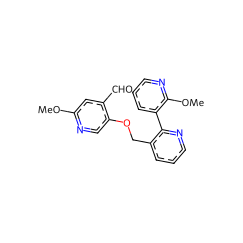 COc1cc(C=O)c(OCc2cccnc2-c2cccnc2OC)cn1